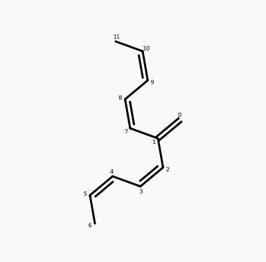 C=C(/C=C\C=C/C)/C=C\C=C/C